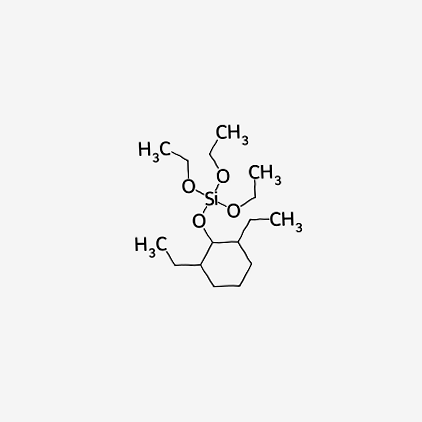 CCO[Si](OCC)(OCC)OC1C(CC)CCCC1CC